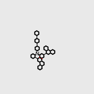 c1ccc(-c2ccc(-c3ccc(N(c4cccc(-c5cc6ccccc6c6ccccc56)c4)c4ccccc4-c4ccc5ccc6ccccc6c5c4)cc3)cc2)cc1